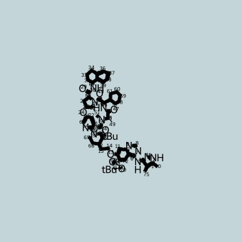 Cc1[nH]nc(Nc2ncnc3cc(OCCC4CCN(c5ccc(O[C@H]6C[C@@H](C(=O)N[C@@H]7CCCc8ccccc87)N(C(=O)[C@@H](NC(=O)[C@H](C)N(C)C(=O)OC(C)(C)C)C7CCCCC7)C6)cn5)CC4)c(S(=O)(=O)C(C)(C)C)cc23)c1C